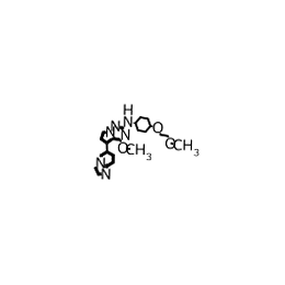 COCCO[C@H]1CC[C@H](Nc2nc(OC)c3c(-c4ccc5nccn5c4)ccn3n2)CC1